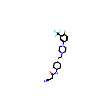 N#CCC(=O)N[C@H]1CC[C@H](CCN2CCN(c3ccc(Cl)c(C(F)(F)F)c3)CC2)CC1